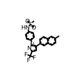 Cc1ccc2cc(-c3cc(C(F)(F)F)nn3-c3ccc(NS(C)(=O)=O)cc3)ccc2c1